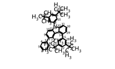 Cc1c(-c2ccccc2)ccc2c1c1c(-c3cc(C(C)(C)C)cc(C(C)(C)C)c3)cccc1n2-c1cc(C(C)(C)C)cc(C(C)(C)C)c1